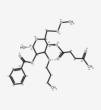 CCCCOC1C(OC(=O)c2ccccc2)[C@H](O)OC(COOC)[C@H]1OC(=O)CCC(C)=O